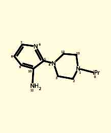 CC(C)N1CCN(c2ncccc2N)CC1